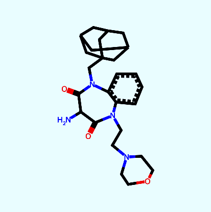 NC1C(=O)N(CCN2CCOCC2)c2ccccc2N(CC23CC4CC(CC(C4)C2)C3)C1=O